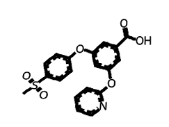 CS(=O)(=O)c1ccc(Oc2cc(Oc3ccccn3)cc(C(=O)O)c2)cc1